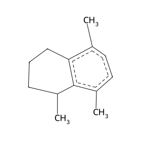 Cc1ccc(C)c2c1CCCC2C